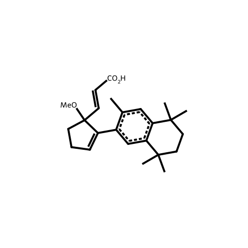 COC1(C=CC(=O)O)CCC=C1c1cc2c(cc1C)C(C)(C)CCC2(C)C